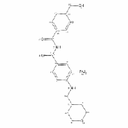 O=C(N[S+]([O-])c1ccc(NCC2CCOCC2)c([N+](=O)[O-])c1)c1ccc(CO)cc1